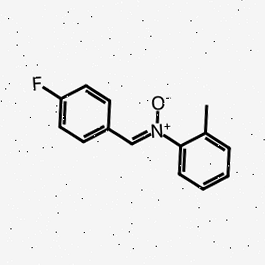 Cc1ccccc1[N+]([O-])=Cc1ccc(F)cc1